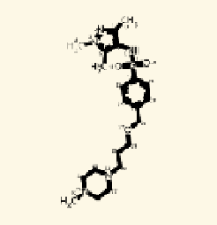 Cc1nn(C)c(C)c1NS(=O)(=O)c1ccc(COCCCN2CCN(C)CC2)cc1